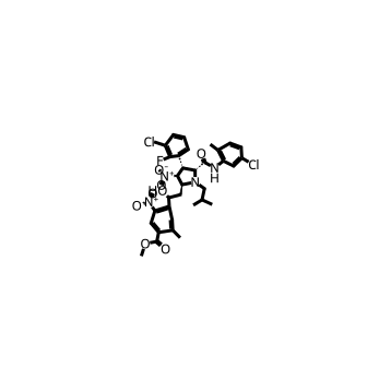 COC(=O)c1cc([N+](=O)[O-])c(C(O)C[C@H]2[C@@H]([N+](=O)[O-])[C@H](c3cccc(Cl)c3F)[C@H](C(=O)Nc3cc(Cl)ccc3C)N2CC(C)C)cc1C